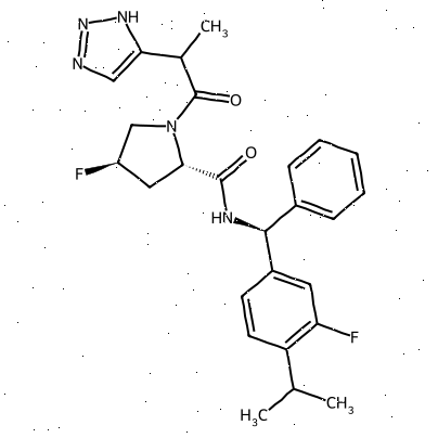 CC(C)c1ccc([C@@H](NC(=O)[C@@H]2C[C@@H](F)CN2C(=O)C(C)c2cnn[nH]2)c2ccccc2)cc1F